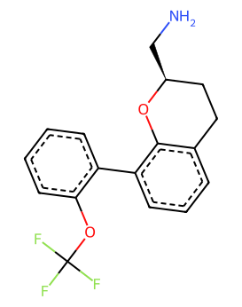 NC[C@H]1CCc2cccc(-c3ccccc3OC(F)(F)F)c2O1